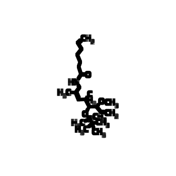 C=CCCCCC(=O)NC/C(C)=C\[C@@H](C)[C@H](O[Si](C)(C)C(C)(C)C)[C@H](C=C)OC